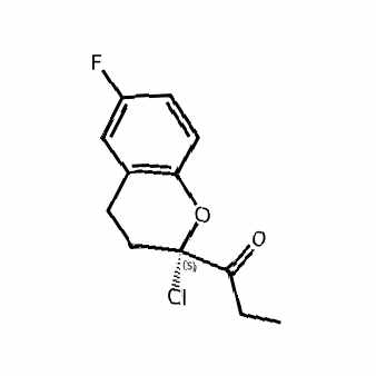 CCC(=O)[C@@]1(Cl)CCc2cc(F)ccc2O1